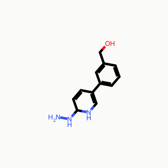 NNC1C=CC(c2cccc(CO)c2)=CN1